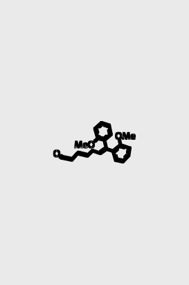 COc1ccccc1C(=CCC=CC=C=O)c1ccccc1OC